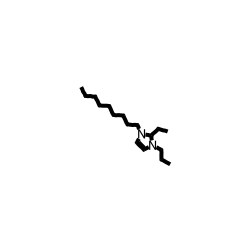 CCCCCCCCCN1C=CN(CCC)C1CC